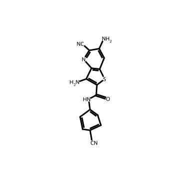 N#Cc1ccc(NC(=O)c2sc3cc(N)c(C#N)nc3c2N)cc1